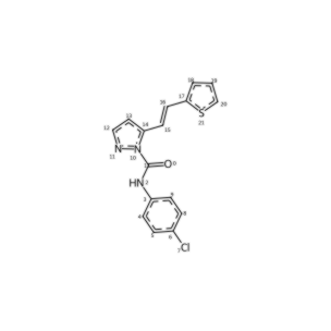 O=C(Nc1ccc(Cl)cc1)n1nccc1/C=C/c1cccs1